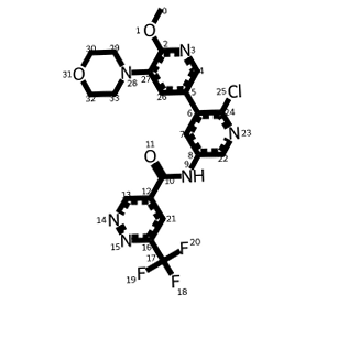 COc1ncc(-c2cc(NC(=O)c3cnnc(C(F)(F)F)c3)cnc2Cl)cc1N1CCOCC1